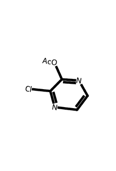 CC(=O)Oc1nccnc1Cl